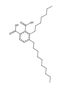 CCCCCCCCCCc1ccc(C(=O)O)c(C(=O)O)c1CCCCCCC